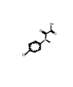 CN(C(=O)C(=O)O)c1ccc(Cl)cc1